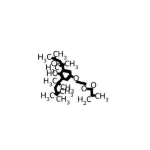 C=C(C)C(=O)OCCOc1cc(C(C)(C)CC(C)(C)C)c(O)c(C(C)(C)CC(C)(C)C)c1